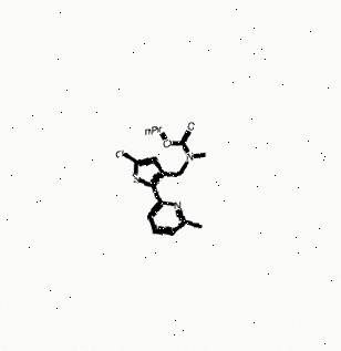 CCCOC(=O)N(C)Cc1cc(Cl)sc1-c1cccc(C)n1